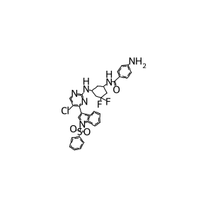 Nc1ccc(C(=O)NC2CC(Nc3ncc(Cl)c(-c4cn(S(=O)(=O)c5ccccc5)c5ccccc45)n3)CC(F)(F)C2)cc1